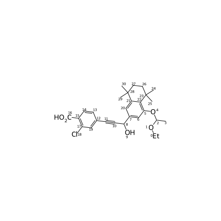 CCOC(C)Oc1cc(C(O)C#Cc2ccc(C(=O)O)c(Cl)c2)cc2c1C(C)(C)CCC2(C)C